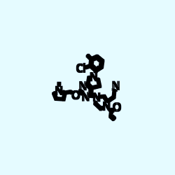 C=CC(=O)N1CCN(c2nc(OCC3CCCN3C)nc3c2CCN(c2cccc(C)c2Cl)C3)CC1CC#N